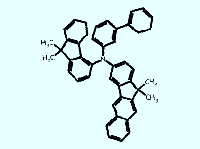 CC1(C)C2=C(CCC=C2)c2c(N(c3cccc(C4=CC=CCC4)c3)c3ccc4c(c3)-c3cc5ccccc5cc3C4(C)C)cccc21